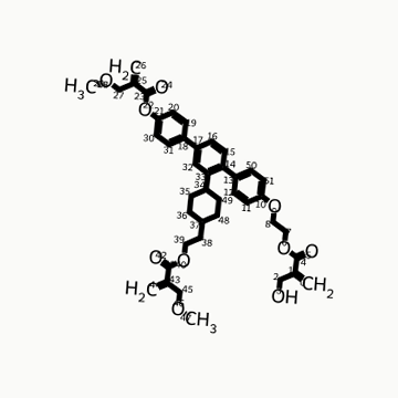 C=C(CO)C(=O)OCCOc1ccc(-c2ccc(-c3ccc(OC(=O)C(=C)COC)cc3)cc2C2CCC(CCOC(=O)C(=C)COC)CC2)cc1